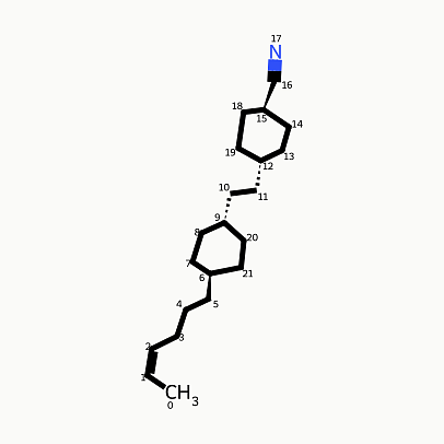 C/C=C\CCC[C@H]1CC[C@H](CC[C@H]2CC[C@H](C#N)CC2)CC1